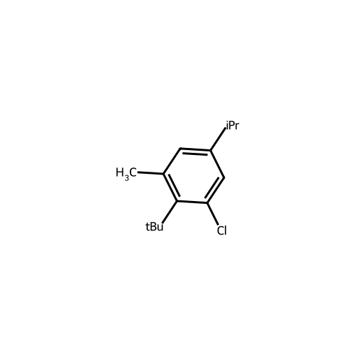 Cc1cc(C(C)C)cc(Cl)c1C(C)(C)C